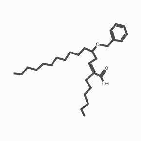 CCCCCCCCCCCC(CC=C(CCCCCC)C(=O)O)OCc1ccccc1